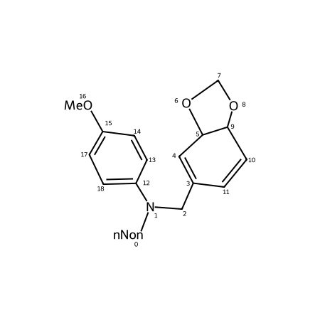 CCCCCCCCCN(CC1=CC2OCOC2C=C1)c1ccc(OC)cc1